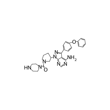 Nc1ncnc2c1c(-c1ccc(Oc3ccccc3)cc1)nn2C1CCCN(C(=O)N2CCNCC2)C1